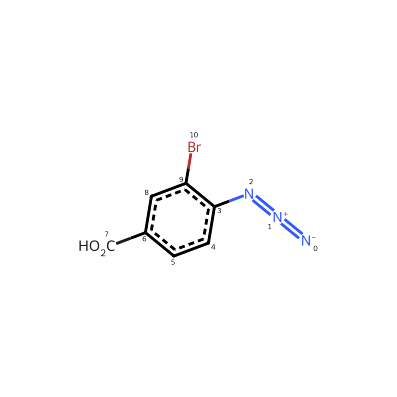 [N-]=[N+]=Nc1ccc(C(=O)O)cc1Br